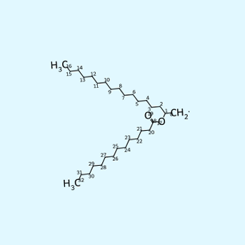 [CH2]C(CCCCCCCCCCCCCCC)OC(=O)CCCCCCCCCCCCC